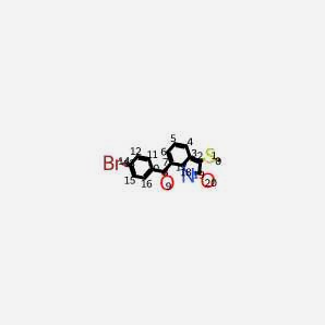 CSC1=c2cccc(C(=O)c3ccc(Br)cc3)c2=NC1=O